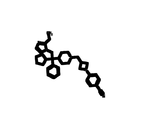 CCc1nccn1CC(c1ccccc1)(C1CCCC1)C1CCN(CC2CN(c3ccc(C#N)cc3)C2)CC1